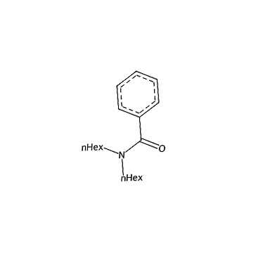 CCCCCCN(CCCCCC)C(=O)c1ccccc1